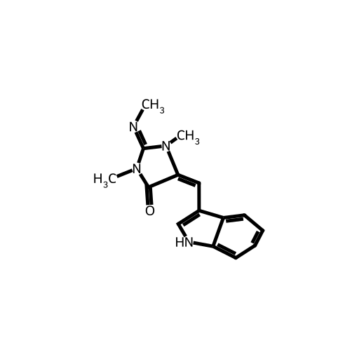 CN=C1N(C)C(=O)C(=Cc2c[nH]c3ccccc23)N1C